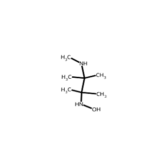 CNC(C)(C)C(C)(C)NO